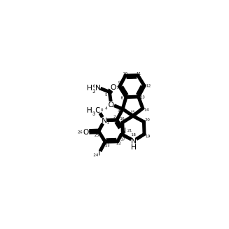 Cn1c(C2(OC(N)=O)c3ccccc3CC23CCNCC3)ncc(I)c1=O